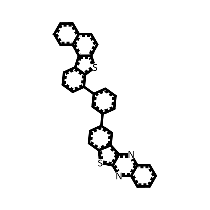 c1cc(-c2ccc3sc4nc5ccccc5nc4c3c2)cc(-c2cccc3c2sc2ccc4ccccc4c23)c1